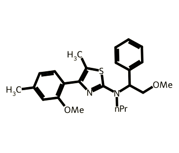 CCCN(c1nc(-c2ccc(C)cc2OC)c(C)s1)C(COC)c1ccccc1